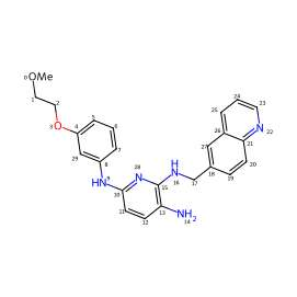 COCCOc1cccc(Nc2ccc(N)c(NCc3ccc4ncccc4c3)n2)c1